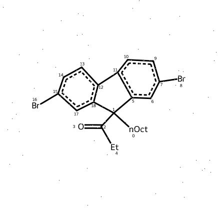 CCCCCCCCC1(C(=O)CC)c2cc(Br)ccc2-c2ccc(Br)cc21